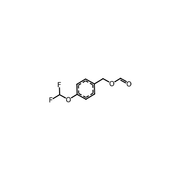 O=COCc1ccc(OC(F)F)cc1